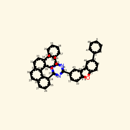 c1ccc(-c2ccc3oc4ccc(-c5nc(-c6ccccc6)nc(-c6cccc7ccc8ccc9ccccc9c8c67)n5)cc4c3c2)cc1